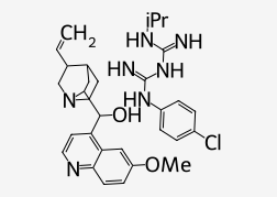 C=CC1CN2CCC1CC2C(O)c1ccnc2ccc(OC)cc12.CC(C)NC(=N)NC(=N)Nc1ccc(Cl)cc1